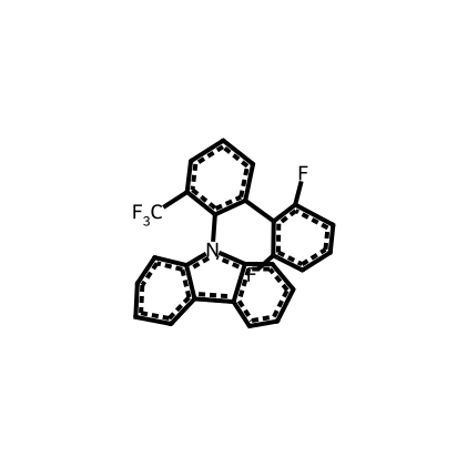 Fc1cccc(F)c1-c1cccc(C(F)(F)F)c1-n1c2ccccc2c2ccccc21